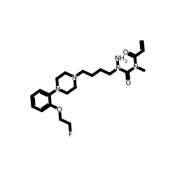 C=CC(=O)N(C)C(=O)N(N)CCCCN1CCN(c2ccccc2OCCF)CC1